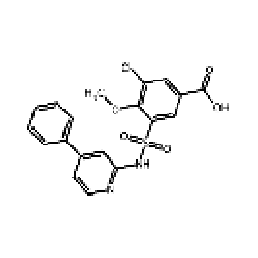 COc1c(Cl)cc(C(=O)O)cc1S(=O)(=O)Nc1cc(-c2ccccc2)ccn1